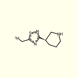 [2H]Cc1nc([C@@H]2CCCNC2)ns1